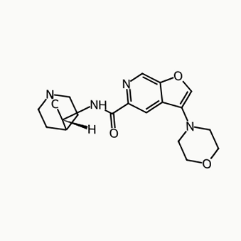 O=C(N[C@H]1CN2CCC1CC2)c1cc2c(N3CCOCC3)coc2cn1